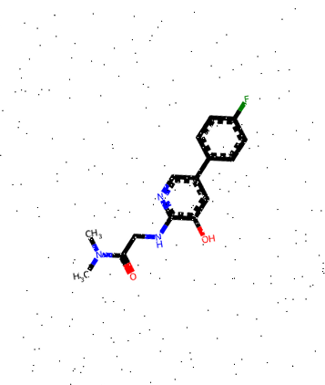 CN(C)C(=O)CNc1ncc(-c2ccc(F)cc2)cc1O